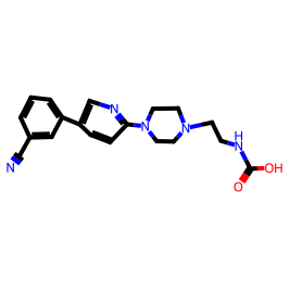 N#Cc1cccc(-c2ccc(N3CCN(CCNC(=O)O)CC3)nc2)c1